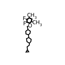 Cc1cc(C)c(OCC2CCC(C3CCC(CCC4CC4)CC3)CC2)c(F)c1F